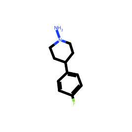 NN1CCC(c2ccc(F)cc2)CC1